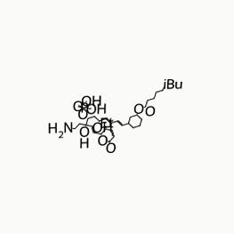 CCC(C)CCCCC(=O)OC1CCCC(/C=C/C=C/C(O)CC(OP(=O)(O)O)C(O)(/C=C/C2OC(=O)C=CC2CC)CCN)C1